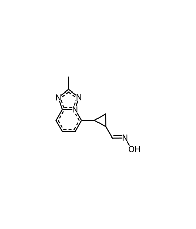 Cc1nc2cccc(C3CC3/C=N/O)n2n1